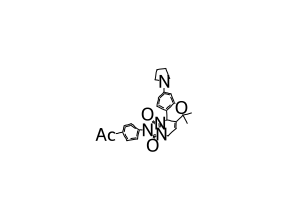 CC(=O)c1ccc(-n2c(=O)n3n(c2=O)C2C(=CC3)C(C)(C)Oc3cc(N4CCCC4)ccc32)cc1